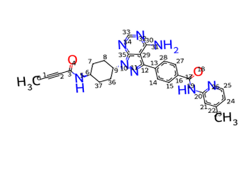 CC#CC(=O)N[C@H]1CC[C@H](n2nc(-c3ccc(C(=O)Nc4cc(C)ccn4)cc3)c3c(N)ncnc32)CC1